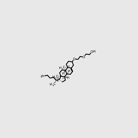 CC(C)CCC[C@@H](C)[C@H]1CC[C@H]2[C@@H]3CC=C4CC(OCCOCCO)CC[C@]4(C)[C@H]3CC[C@]12C